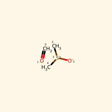 C=O.C[S+](C)[O-]